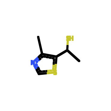 Cc1ncsc1C(C)S